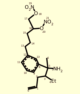 C=CCC(CC)C(C)(N)c1cccc(CCCC(CO[N+](=O)[O-])O[N+](=O)[O-])c1